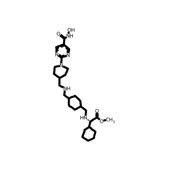 COC(=O)[C@@H](NCC1CCC(CNCC2CCN(c3ncc(C(=O)NO)cn3)CC2)CC1)C1CCCCC1